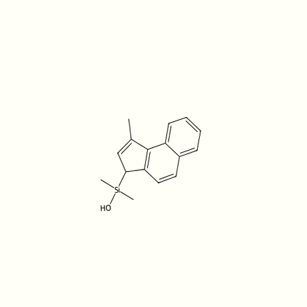 CC1=CC([Si](C)(C)O)c2ccc3ccccc3c21